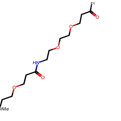 CCC(=O)CCOCCOCCNC(=O)CCOCCOC